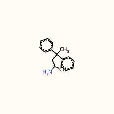 CC(N)CC(C)(c1ccccc1)c1ccccc1